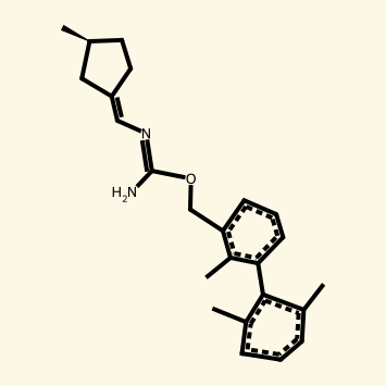 Cc1cccc(C)c1-c1cccc(CO/C(N)=N/C=C2\CC[C@H](C)C2)c1C